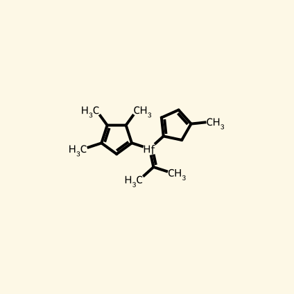 CC1=CC=[C]([Hf]([C]2=CC(C)=C(C)C2C)=[C](C)C)C1